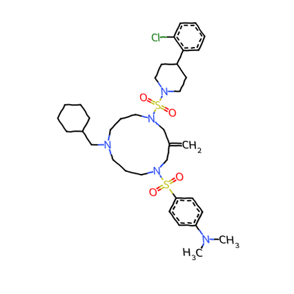 C=C1CN(S(=O)(=O)c2ccc(N(C)C)cc2)CCCN(CC2CCCCC2)CCCN(S(=O)(=O)N2CCC(c3ccccc3Cl)CC2)C1